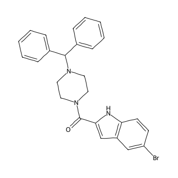 O=C(c1cc2cc(Br)ccc2[nH]1)N1CCN(C(c2ccccc2)c2ccccc2)CC1